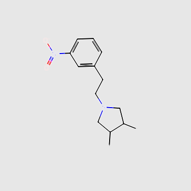 CC1CN(CCc2cccc([N+](=O)[O-])c2)CC1C